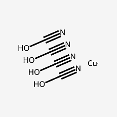 N#CO.N#CO.N#CO.N#CO.[Cu]